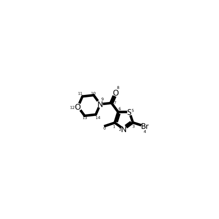 Cc1nc(Br)sc1C(=O)N1CCOCC1